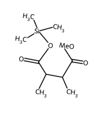 COC(=O)C(C)C(C)C(=O)O[Si](C)(C)C